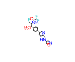 O=C(N[C@H](CF)[C@H](O)c1ccc(-c2ccc(CNc3cnoc3)nc2)cc1)C(F)F